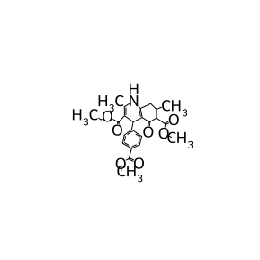 CCOC(=O)C1=C(C)NC2=C(C(=O)C(C(=O)OC)C(C)C2)C1c1ccc(C(=O)OC)cc1